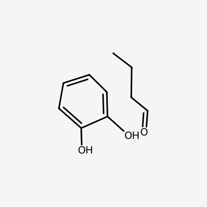 CCCC=O.Oc1ccccc1O